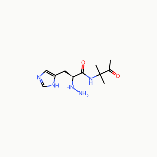 CC(=O)C(C)(C)NC(=O)[C@H](Cc1cnc[nH]1)NN